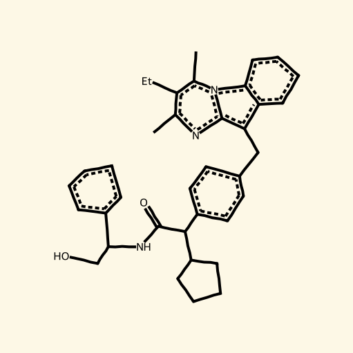 CCc1c(C)nc2c(Cc3ccc(C(C(=O)NC(CO)c4ccccc4)C4CCCC4)cc3)c3ccccc3n2c1C